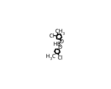 Cc1ccc(OBOc2ccc(C)c(Cl)c2)cc1Cl